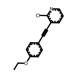 CCOc1ccc(C#Cc2cccnc2Cl)cc1